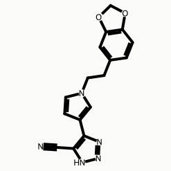 N#Cc1[nH]nnc1-c1ccn(CCc2ccc3c(c2)OCO3)c1